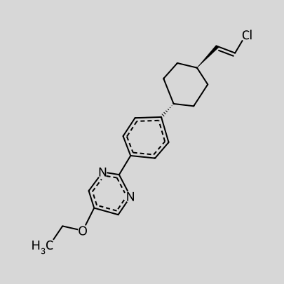 CCOc1cnc(-c2ccc([C@H]3CC[C@H](/C=C/Cl)CC3)cc2)nc1